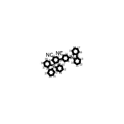 N#Cc1cc(-c2ccc(-n3c4ccccc4c4ccccc43)cc2C#N)cc([Si](c2ccccc2)(c2ccccc2)c2ccccc2)c1